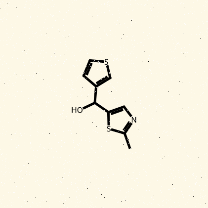 Cc1ncc(C(O)c2ccsc2)s1